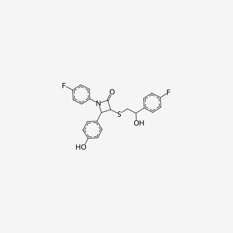 O=C1C(SCC(O)c2ccc(F)cc2)C(c2ccc(O)cc2)N1c1ccc(F)cc1